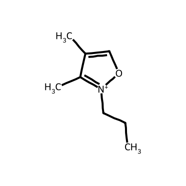 CCC[n+]1occ(C)c1C